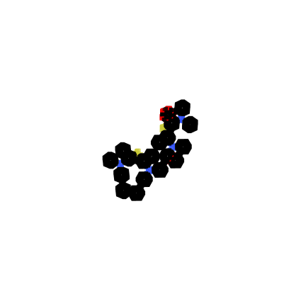 c1ccc(-c2ccc(N(c3ccccc3)c3cc4c5cc(N(c6ccc(-c7ccccc7)cc6)c6cccc(-c7ccc(N(c8ccccc8-c8ccccc8)c8cc9c%10cc(N(c%11ccccc%11)c%11ccccc%11-c%11ccccc%11)c%11ccccc%11c%10sc9c9ccccc89)cc7)c6)c6ccccc6c5sc4c4ccccc34)cc2)cc1